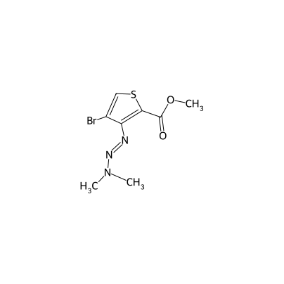 COC(=O)c1scc(Br)c1N=NN(C)C